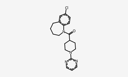 O=C(C1CCN(c2ncccn2)CC1)N1CCCCc2cc(Cl)ccc21